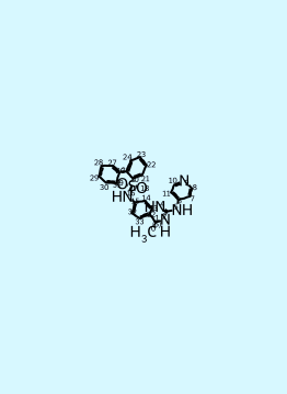 C[C@H](NC(=N)Nc1ccncc1)c1ccc(NS(=O)(=O)c2ccccc2-c2ccccc2)cc1